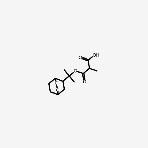 CC(C(=O)O)C(=O)OC(C)(C)C1CC2CCC1CC2